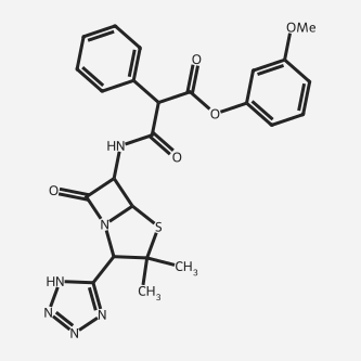 COc1cccc(OC(=O)C(C(=O)NC2C(=O)N3C2SC(C)(C)C3c2nnn[nH]2)c2ccccc2)c1